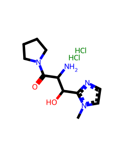 Cl.Cl.Cn1ccnc1C(O)C(N)C(=O)N1CCCC1